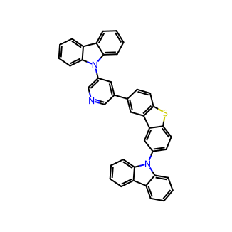 c1ccc2c(c1)c1ccccc1n2-c1cncc(-c2ccc3sc4ccc(-n5c6ccccc6c6ccccc65)cc4c3c2)c1